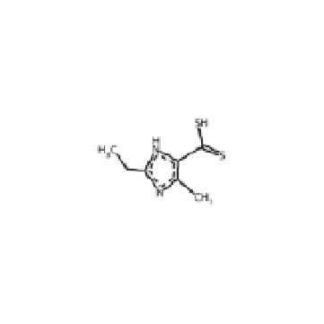 CCc1nc(C)c(C(=S)S)[nH]1